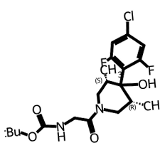 C[C@@H]1CN(C(=O)CNC(=O)OC(C)(C)C)C[C@H](C)C1(O)c1c(F)cc(Cl)cc1F